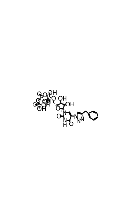 O=c1[nH]c(=O)n([C@@H]2O[C@H](COP(=O)(O)OP(=O)(O)OP(=O)(O)O)C(O)[C@@H]2O)cc1-n1cc(Cc2ccccc2)nn1